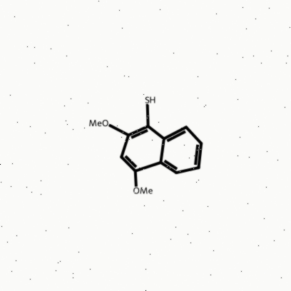 COc1cc(OC)c2ccccc2c1S